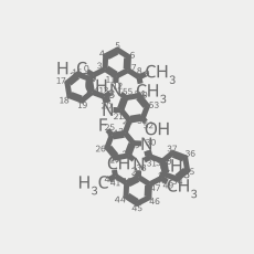 CC(C)c1cccc(C(C)C)c1-n1c(-c2ccccc2)nc2c(-c3c(F)ccc4c3nc(-c3ccccc3)n4-c3c(C(C)C)cccc3C(C)C)c(O)ccc21